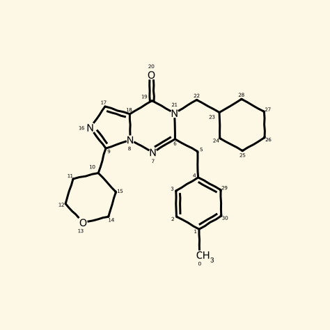 Cc1ccc(Cc2nn3c(C4CCOCC4)ncc3c(=O)n2CC2CCCCC2)cc1